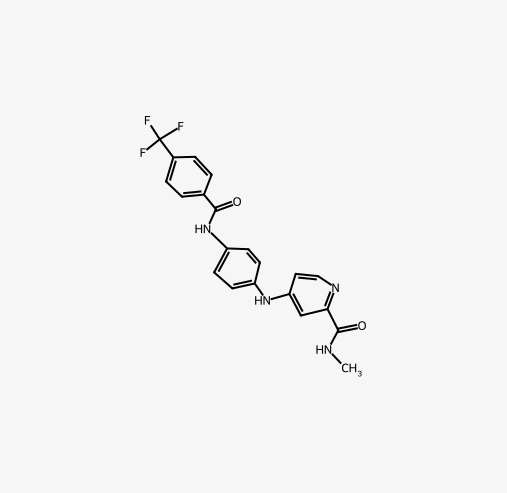 CNC(=O)c1cc(Nc2ccc(NC(=O)c3ccc(C(F)(F)F)cc3)cc2)ccn1